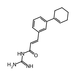 N=C(N)NC(=O)/C=C/c1cccc(C2=CCCCC2)c1